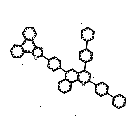 c1ccc(-c2ccc(-c3cc(-c4ccc(-c5ccccc5)cc4)c4cc(-c5ccc(-c6nc7c8ccccc8c8ccccc8c7o6)cc5)c5ccccc5c4n3)cc2)cc1